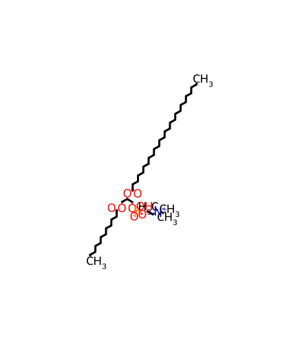 CCCCCCCCCCCCCCCCCCCCCCCCCC(=O)OC(COC(=O)CCCCCCCCCCC)COP(=O)(O)OCC[N+](C)(C)C